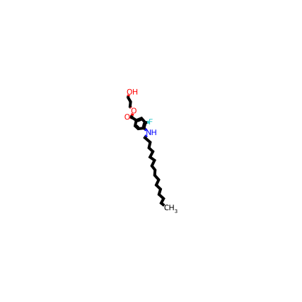 CCCCCCCCCCCCCCCCNc1ccc(C(=O)OCCCO)cc1F